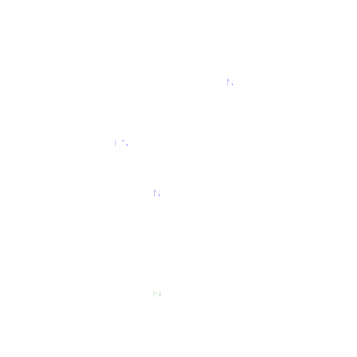 CN1CCc2c(sc(N)c2-c2nc3cc(Br)ccc3s2)C1